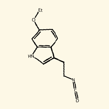 CCOc1ccc2c(CCN=C=O)c[nH]c2c1